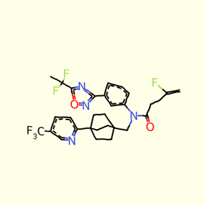 C=C(F)CCC(=O)N(CC12CCC(c3ccc(C(F)(F)F)cn3)(CC1)CC2)c1cccc(-c2noc(C(C)(F)F)n2)c1